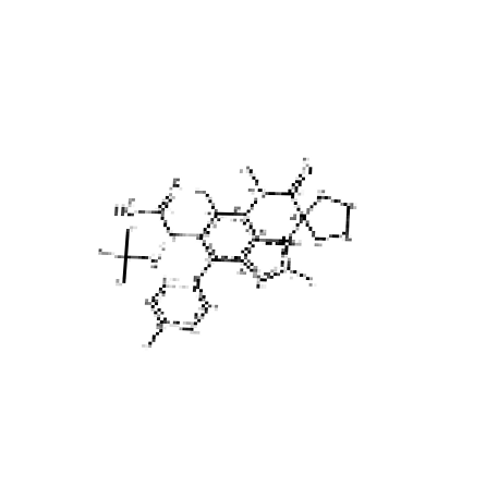 Cc1ccc(-c2c([C@H](OC(C)(C)C)C(=O)O)c(C)c3c4c2cc(C)n4C2(CCCC2)C(=O)N3C)cc1